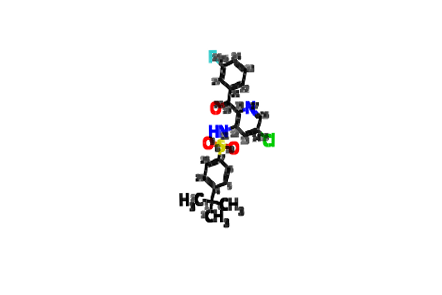 CC(C)(C)c1ccc(S(=O)(=O)Nc2cc(Cl)cnc2C(=O)c2cccc(F)c2)cc1